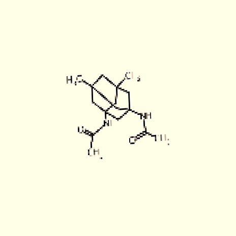 CC(=O)NC12CC3(C)CC(C)(C1)CC(NC(C)=O)(C3)C2